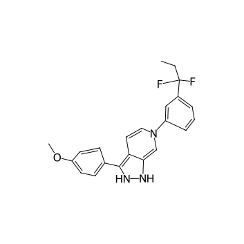 CCC(F)(F)c1cccc(N2C=CC3=C(c4ccc(OC)cc4)NNC3=C2)c1